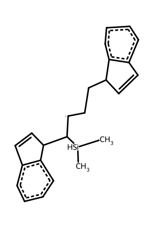 C[SiH](C)C([CH]CCC1C=Cc2ccccc21)C1C=Cc2ccccc21